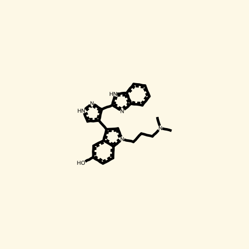 CN(C)CCCn1cc(-c2c[nH]nc2-c2nc3ccccc3[nH]2)c2cc(O)ccc21